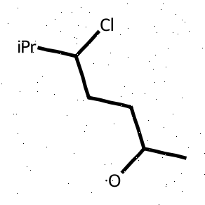 CC([O])CCC(Cl)C(C)C